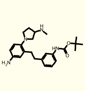 CNC1CCN(c2ccc(N)cc2CCc2cccc(NC(=O)OC(C)(C)C)c2)C1